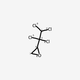 ClC(Cl)C(Cl)(Cl)C1CO1